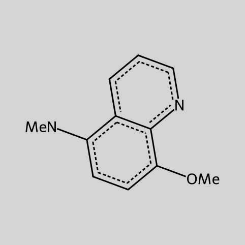 CNc1ccc(OC)c2ncccc12